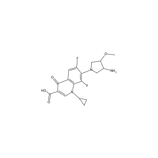 COC1CN(c2c(F)cc3c(=O)c(C(=O)O)cn(C4CC4)c3c2F)CC1N